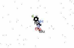 CC(C)(C)OC(=O)N1CC(Nc2ccc(F)cc2[N+](=O)[O-])C1